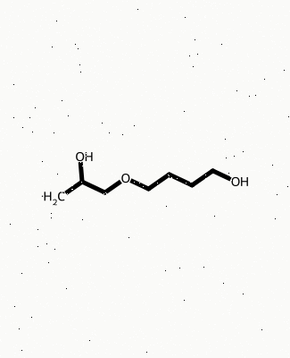 [CH2]C(O)COCCCCO